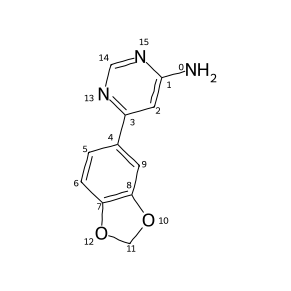 Nc1cc(-c2ccc3c(c2)OCO3)ncn1